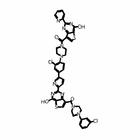 O=C(c1csc2c(O)nc(-c3ccc(-c4ccc(N5CCN(C(=O)c6csc7c(O)nc(-c8ccccn8)nc67)CC5)c(Cl)c4)cn3)nc12)N1CCN(c2cccc(Cl)c2)CC1